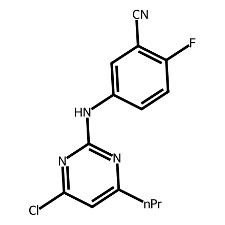 CCCc1cc(Cl)nc(Nc2ccc(F)c(C#N)c2)n1